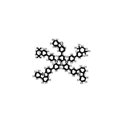 CC1(C)CCC(C)(C)c2cc(-c3ccc(N4c5cc(-c6ccc7c(c6)c6cccc8c9ccccc9n7c86)ccc5B5c6ccc(-c7ccc8c(c7)c7cccc9c%10ccccc%10n8c97)cc6N(c6ccc(-c7ccc8c(c7)C(C)(C)CCC8(C)C)cc6)c6cc(-c7ccc8oc9ccccc9c8c7)cc4c65)cc3)ccc21